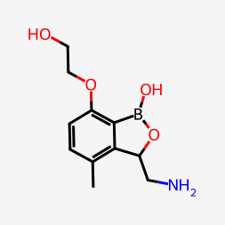 Cc1ccc(OCCO)c2c1C(CN)OB2O